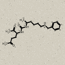 CC(=O)CCC(NC(=O)NC(C)CCCCNCc1ccccc1)C(C)=O